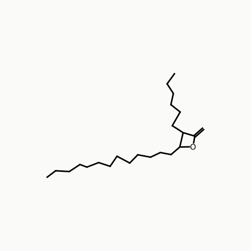 C=C1OC(CCCCCCCCCCCCC)C1CCCCCC